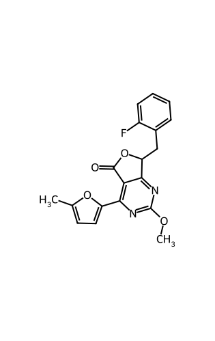 COc1nc(-c2ccc(C)o2)c2c(n1)C(Cc1ccccc1F)OC2=O